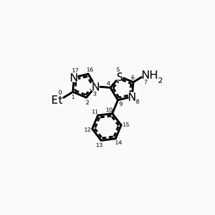 CCc1cn(-c2sc(N)nc2-c2ccccc2)cn1